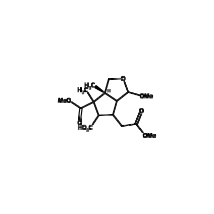 COC(=O)CC1C(C(=O)O)C(C)(C(=O)OC)[C@]2(C)COC(OC)C12